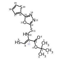 CC(C)(C)OC(=O)/C(=C/S)NSc1nnc(-c2cccs2)o1